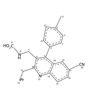 Cc1ccc(-c2c(CNC(=O)O)c(CC(C)C)nc3ccc(C#N)cc23)cc1